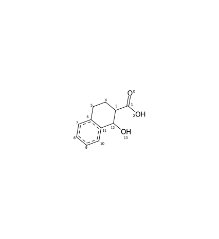 O=C(O)C1CCc2ccccc2C1O